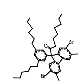 CCCCCCCC(=O)C1(c2cc(CCCCCC)cc(CCCCCC)c2)c2cc(Br)c(C)cc2-c2cc(C)c(Br)cc21